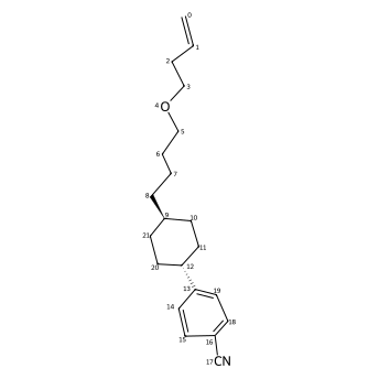 C=CCCOCCCC[C@H]1CC[C@H](c2ccc(C#N)cc2)CC1